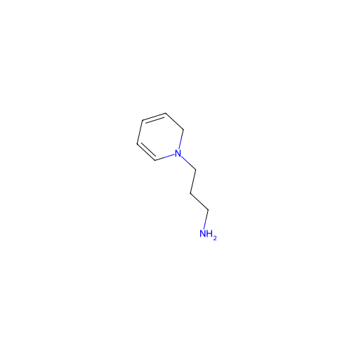 NCCCN1C=CC=CC1